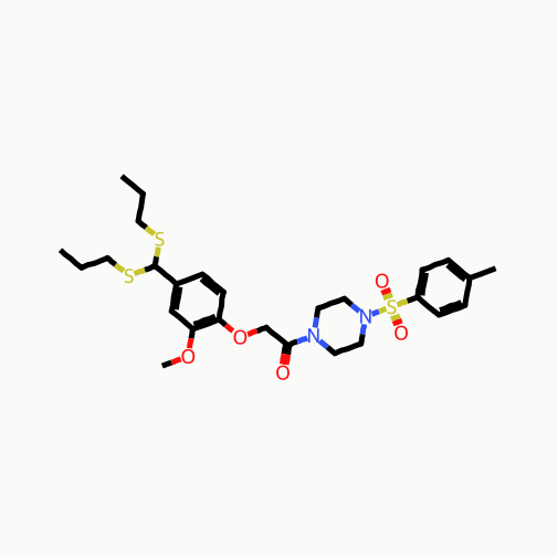 CCCSC(SCCC)c1ccc(OCC(=O)N2CCN(S(=O)(=O)c3ccc(C)cc3)CC2)c(OC)c1